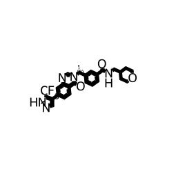 C[C@H](c1cccc(C(=O)NCC2CCOCC2)c1)n1cnc2cc(-c3cn[nH]c3C(F)(F)F)ccc2c1=O